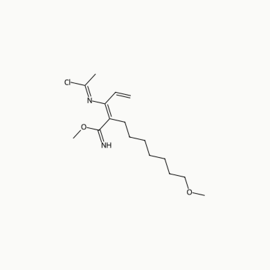 C=CC(/N=C(\C)Cl)=C(\CCCCCCCOC)C(=N)OC